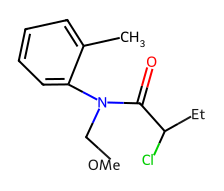 CCC(Cl)C(=O)N(COC)c1ccccc1C